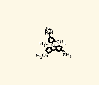 CSc1ccc2c(c1)c1cc(SC)ccc1n2-c1c(C)cc(-c2ncncn2)cc1C